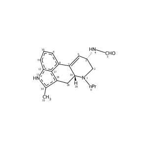 CCCN1C[C@@H](NC=O)C=C2c3cccc4[nH]c(C)c(c34)C[C@H]21